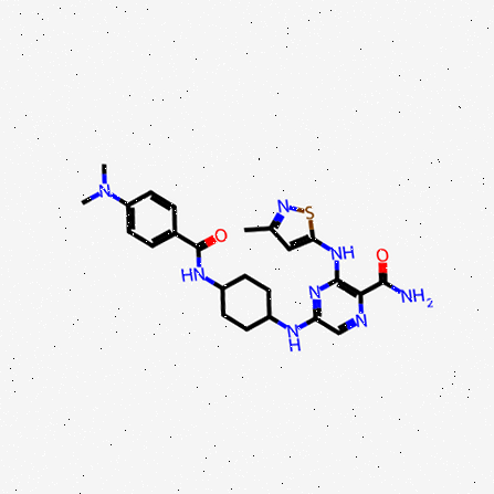 Cc1cc(Nc2nc(NC3CCC(NC(=O)c4ccc(N(C)C)cc4)CC3)cnc2C(N)=O)sn1